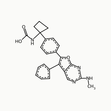 CNc1ncc2c(-c3ccccc3)c(-c3ccc(C4(NC(=O)O)CCC4)cc3)oc2n1